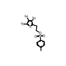 [2H]c1sc(CCOS(=O)(=O)c2ccc(C)cc2)c([2H])c1[2H]